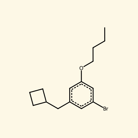 CCCCOc1cc(Br)cc(CC2CCC2)c1